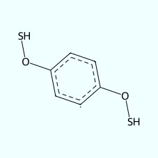 SOc1[c]cc(OS)cc1